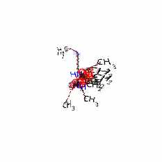 C=CCOC(=O)O[C@H]1[C@H](OCCCCCCCCCC)[C@@H](NC(=O)CC(=O)CCCCCCCCCCC)[C@@H](O/C=C\C)O[C@@H]1CCO[C@@H]1O[C@H](COC)[C@@H](OP(=O)(OCC=C)OCC=C)[C@H](OCC[C@@H](CCCCCCC)OC)[C@H]1NC(=O)CCCCCCCCC/C=C\CCCCCC